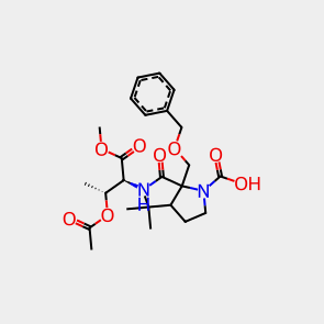 COC(=O)[C@@H](NC(=O)C1(COCc2ccccc2)C(C(C)(C)C)CCN1C(=O)O)[C@@H](C)OC(C)=O